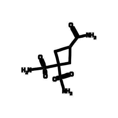 NC(=O)C1CC(S(N)(=O)=O)(S(N)(=O)=O)C1